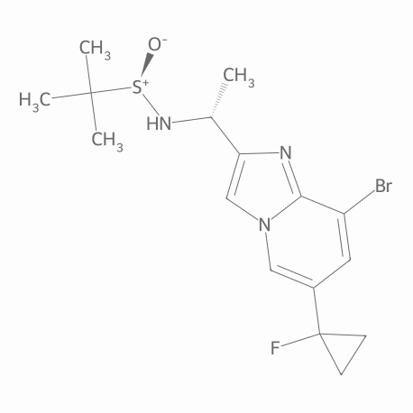 C[C@@H](N[S@+]([O-])C(C)(C)C)c1cn2cc(C3(F)CC3)cc(Br)c2n1